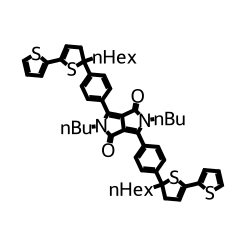 CCCCCCC1(c2ccc(C3=C4C(=O)N(CCCC)C(c5ccc(C6(CCCCCC)CC=C(c7cccs7)S6)cc5)=C4C(=O)N3CCCC)cc2)CC=C(c2cccs2)S1